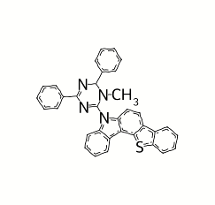 CN1C(n2c3ccccc3c3c4sc5ccccc5c4ccc32)=NC(c2ccccc2)=NC1c1ccccc1